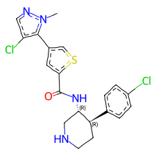 Cn1ncc(Cl)c1-c1csc(C(=O)N[C@H]2CNCC[C@@H]2c2ccc(Cl)cc2)c1